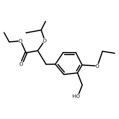 CCOC(=O)C(Cc1ccc(OCC)c(CO)c1)OC(C)C